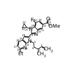 C=CC(C)CCn1c(-c2nc3cc(C(=O)OC)cc(F)c3n2C2CC2)cc2ccc(CC)nc21